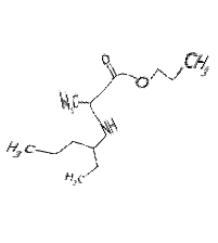 CCCOC(=O)C(C)NC(CC)CCC